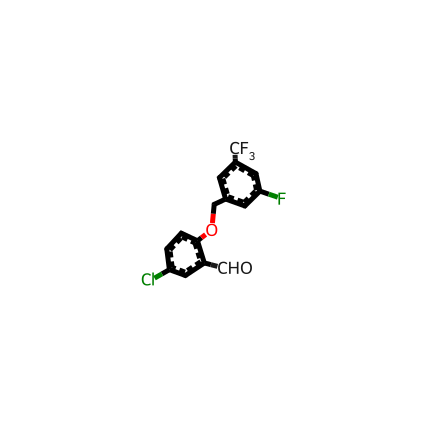 O=Cc1cc(Cl)ccc1OCc1cc(F)cc(C(F)(F)F)c1